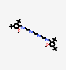 COC1=CC(C(C)(C)C)CC(C(C)(C)C)=C1CNCCCNCCCNCCCNCc1c(OC)cc(C(C)(C)C)cc1C(C)(C)C